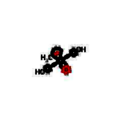 C=C1/C=C\C=C/CC2c3ccccc3C1c1c(C#Cc3ccc(O)cc3)c3c(c(C#Cc4ccc(O)cc4)c12)C1c2ccccc2C3c2ccccc21